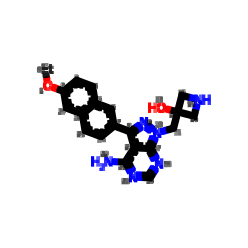 CCOc1ccc2cc(-c3nn(CC4(O)CNC4)c4ncnc(N)c34)ccc2c1